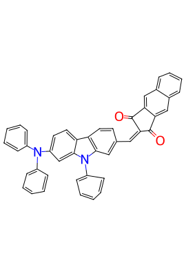 O=C1C(=Cc2ccc3c4ccc(N(c5ccccc5)c5ccccc5)cc4n(-c4ccccc4)c3c2)C(=O)c2cc3ccccc3cc21